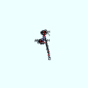 CC1(CCCCCC(=O)NCCOCCOCCOCCOCCCCCCCl)C(/C=C/C=C/C=C2/N3CCCc4ccc(S(=O)(=O)O)c(c43)C2(C)C)=CN2CCc3ccc(S(=O)(=O)O)c1c32